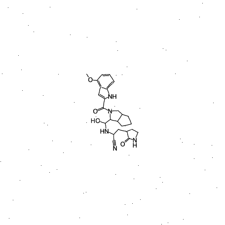 COc1cccc2[nH]c(C(=O)N3CC4CCCC4C3C(O)NC(C#N)CC3CCNC3=O)cc12